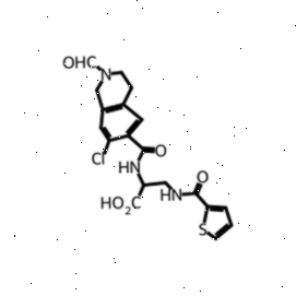 O=CN1CCc2cc(C(=O)NC(CNC(=O)c3cccs3)C(=O)O)c(Cl)cc2C1